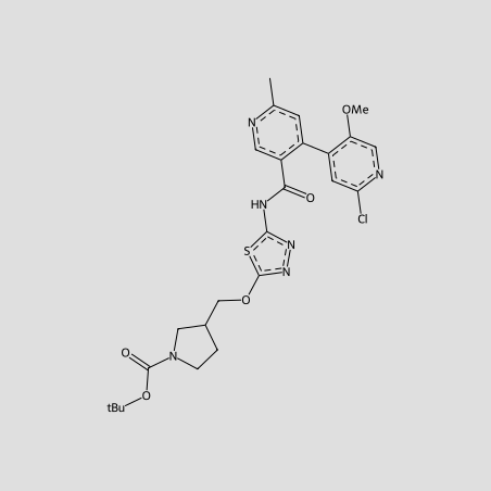 COc1cnc(Cl)cc1-c1cc(C)ncc1C(=O)Nc1nnc(OCC2CCN(C(=O)OC(C)(C)C)C2)s1